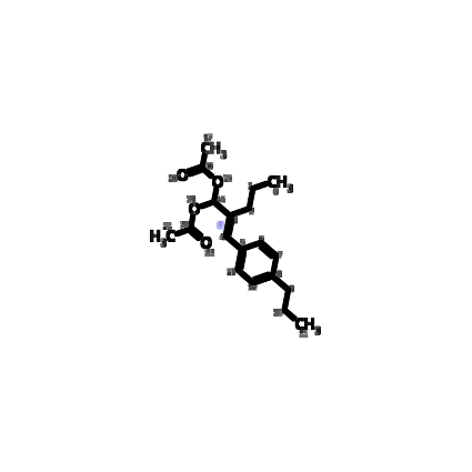 CCC/C(=C\c1ccc(CCC)cc1)C(OC(C)=O)OC(C)=O